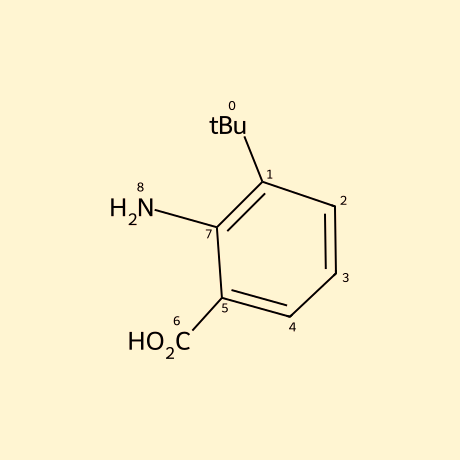 CC(C)(C)c1cccc(C(=O)O)c1N